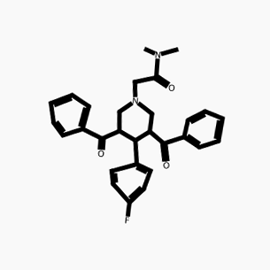 CN(C)C(=O)CN1CC(C(=O)c2ccccc2)C(c2ccc(F)cc2)C(C(=O)c2ccccc2)C1